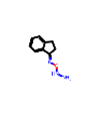 NNO/N=C1\CCc2ccccc21